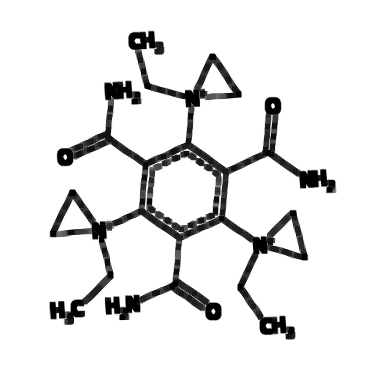 CC[N+]1(c2c(C(N)=O)c([N+]3(CC)CC3)c(C(N)=O)c([N+]3(CC)CC3)c2C(N)=O)CC1